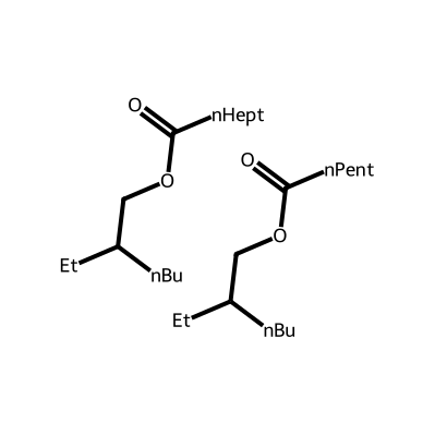 CCCCCC(=O)OCC(CC)CCCC.CCCCCCCC(=O)OCC(CC)CCCC